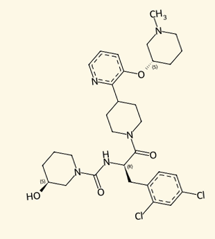 CN1CCC[C@H](Oc2cccnc2C2CCN(C(=O)[C@@H](Cc3ccc(Cl)cc3Cl)NC(=O)N3CCC[C@H](O)C3)CC2)C1